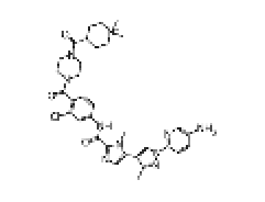 Cc1nn(-c2ccc(N)cn2)cc1-c1cnc(C(=O)Nc2ccc(C(=O)N3CCN(C(=O)C4CC[N+](C)(C)CC4)CC3)c(Cl)c2)n1C